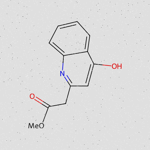 COC(=O)Cc1cc(O)c2ccccc2n1